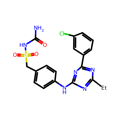 CCc1nc(Nc2ccc(CS(=O)(=O)NC(N)=O)cc2)nc(-c2cccc(Cl)c2)n1